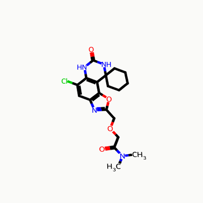 CN(C)C(=O)COCc1nc2cc(Cl)c3c(c2o1)C1(CCCCC1)NC(=O)N3